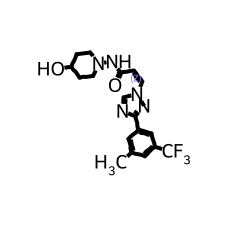 Cc1cc(-c2ncn(/C=C\C(=O)NN3CCC(O)CC3)n2)cc(C(F)(F)F)c1